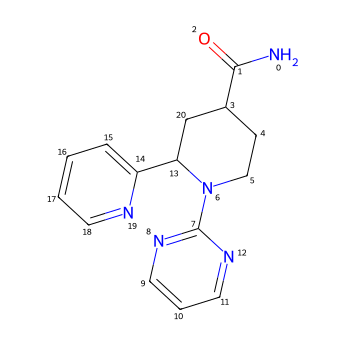 NC(=O)C1CCN(c2ncccn2)C(c2ccccn2)C1